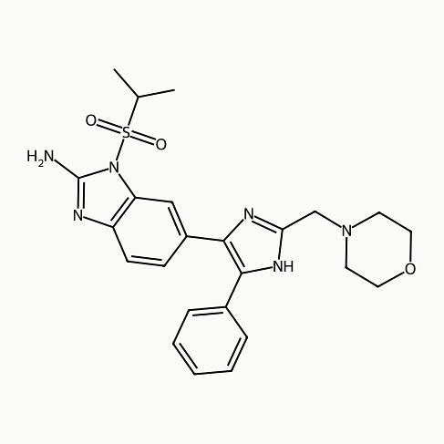 CC(C)S(=O)(=O)n1c(N)nc2ccc(-c3nc(CN4CCOCC4)[nH]c3-c3ccccc3)cc21